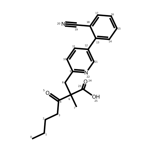 CCCCC(=O)C(C)(Cc1ccc(-c2ccccc2C#N)cn1)C(=O)O